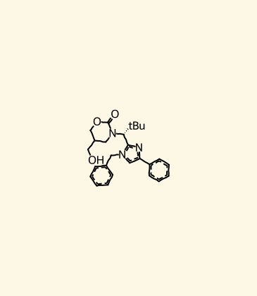 CC(C)(C)[C@H](c1nc(-c2ccccc2)cn1Cc1ccccc1)N1CC(CO)COC1=O